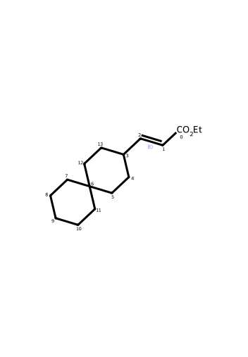 CCOC(=O)/C=C/C1CCC2(CCCCC2)CC1